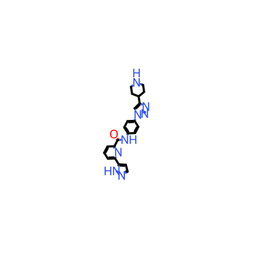 O=C(Nc1ccc(-n2cc(C3CCNCC3)nn2)cc1)c1cccc(-c2ccn[nH]2)n1